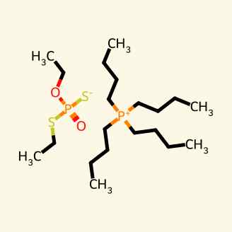 CCCC[P+](CCCC)(CCCC)CCCC.CCOP(=O)([S-])SCC